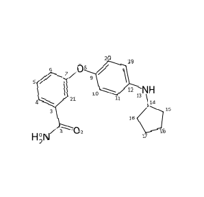 NC(=O)c1cccc(Oc2ccc(NC3CCCC3)cc2)c1